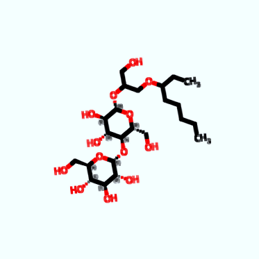 CCCCCC(CC)OCC(CO)O[C@@H]1O[C@H](CO)[C@@H](O[C@H]2O[C@H](CO)[C@@H](O)[C@H](O)[C@H]2O)[C@H](O)[C@H]1O